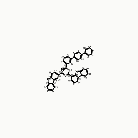 c1ccc(-c2ccc(-c3cccc(-c4nc(-c5ccc6sc7ccccc7c6c5)nc(-c5cccc6c5sc5ccccc56)n4)c3)cc2)cc1